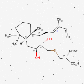 C=C/C(C)=C/C[C@@H]1[C@@]2(C)CCCC(C)(C)[C@@H]2C[C@H](O)[C@]1(O)CSC[C@H](NC(C)=O)C(=O)O